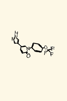 O=c1ccc(-c2cn[nH]c2)cn1-c1ccc(OC(F)(F)F)cc1